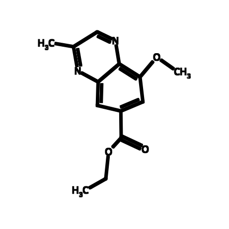 CCOC(=O)c1cc(OC)c2ncc(C)nc2c1